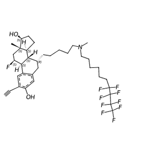 C#Cc1cc2c(cc1O)C[C@@H](CCCCCN(C)CCCCCCC(F)(F)C(F)(F)C(F)(F)C(F)(F)F)[C@@H]1[C@@H]2[C@@H](F)C[C@]2(C)[C@@H](O)CC[C@@H]12